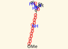 CCN(CC)c1ccc(NC(=O)c2cccc(CCCOCCOCCOCCOCCC(=O)NCCOCCOCCOCCOCCOCCOCCOCCOC)c2)c(-c2cc(C(=O)N[C@H]3CCCc4ccccc43)ccn2)c1